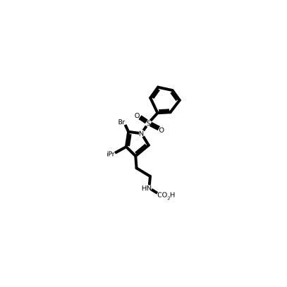 CC(C)c1c(CCNC(=O)O)cn(S(=O)(=O)c2ccccc2)c1Br